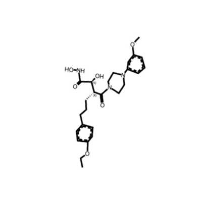 CCOc1ccc(CCC[C@@H](C(=O)N2CCN(c3cccc(OC)c3)CC2)[C@H](O)C(=O)NO)cc1